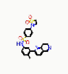 Cc1ccc(NS(=O)(=O)c2ccc(N3CCS3(=O)=O)cc2)cc1-c1ccc2cnccc2n1